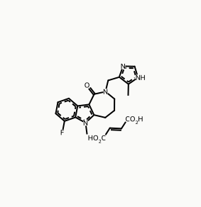 Cc1[nH]cnc1CN1CCCc2c(c3cccc(F)c3n2C)C1=O.O=C(O)C=CC(=O)O